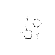 CN(C)c1cnn(C)c(=O)c1-c1ccccc1C=O